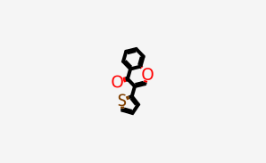 O=c1c(-c2cccs2)coc2ccccc12